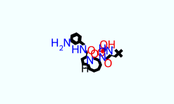 CN(C(=O)O)[C@@H](CC(C)(C)C)C(=O)N[C@H]1CCCC[C@H]2CC[C@@H](C(=O)NCc3cccc(N)c3)N2C1=O